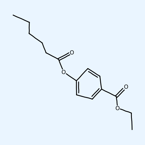 CCCCCC(=O)Oc1ccc(C(=O)OCC)cc1